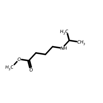 COC(=O)CCCNC(C)C